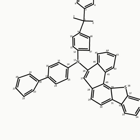 CC(C)(c1ccccc1)c1ccc(N(c2ccc(-c3ccccc3)cc2)c2cc3ccc4c5ccccc5sc4c3c3ccccc23)cc1